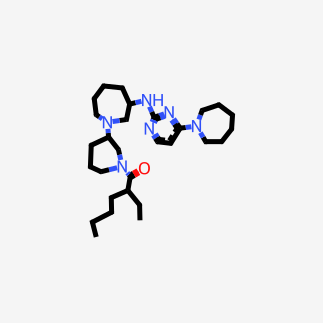 CCCCC(CC)C(=O)N1CCCC(N2CCCCC(Nc3nccc(N4CCCCCC4)n3)C2)C1